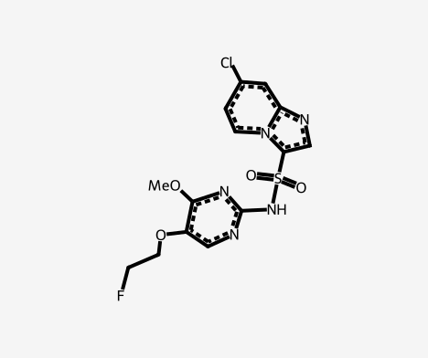 COc1nc(NS(=O)(=O)c2cnc3cc(Cl)ccn23)ncc1OCCF